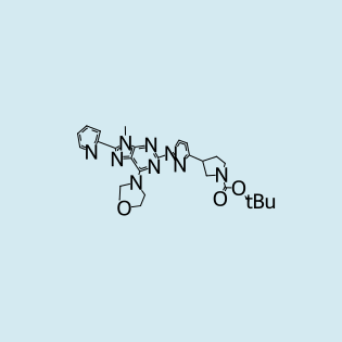 Cn1c(-c2ccccn2)nc2c(N3CCOCC3)nc(-n3ccc(C4CCN(C(=O)OC(C)(C)C)C4)n3)nc21